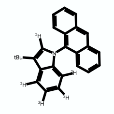 [2H]c1c([2H])c([2H])c2c(c1[2H])c(C(C)(C)C)c([2H])n2-c1c2ccccc2cc2ccccc12